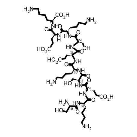 NCCCC[C@H](NC(=O)[C@H](CCC(=O)O)NC(=O)[C@H](CCCCN)NC(=O)[C@H](CO)NC(=O)[C@H](CCC(=O)O)NC(=O)[C@H](CCCCN)NC(=O)[C@H](CO)NC(=O)[C@H](CCC(=O)O)NC(=O)[C@H](CCCCN)NC(=O)[C@@H](N)CO)C(=O)O